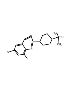 CC(C)(O)C1CCC(c2ncc3cc(Br)cc(F)c3n2)CC1